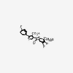 COc1c(F)c(F)cc(C(=O)Nc2csc(-c3ccc(F)cc3)c2C(=O)O)c1F